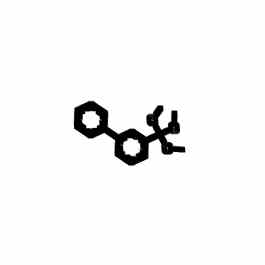 COC(OC)(OC)c1cccc(-c2ccccc2)c1